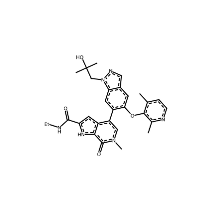 CCNC(=O)c1cc2c(-c3cc4c(cnn4CC(C)(C)O)cc3Oc3c(C)ccnc3C)cn(C)c(=O)c2[nH]1